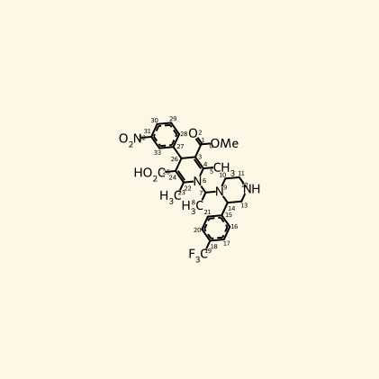 COC(=O)C1=C(C)N(C(C)N2CCNCC2c2ccc(C(F)(F)F)cc2)C(C)=C(C(=O)O)C1c1cccc([N+](=O)[O-])c1